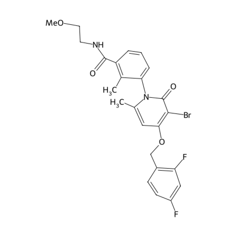 COCCNC(=O)c1cccc(-n2c(C)cc(OCc3ccc(F)cc3F)c(Br)c2=O)c1C